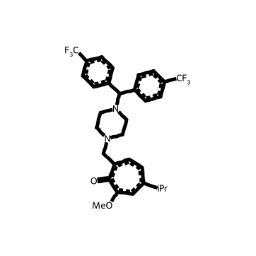 COc1cc(C(C)C)ccc(CN2CCN(C(c3ccc(C(F)(F)F)cc3)c3ccc(C(F)(F)F)cc3)CC2)c1=O